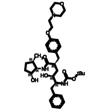 C[C@H]1CC[C@@H](O)[C@H]1NC(=O)[C@H](Cc1ccc(OCCN2CCOCC2)cc1)C[C@H](O)[C@H](Cc1ccccc1)NC(=O)OC(C)(C)C